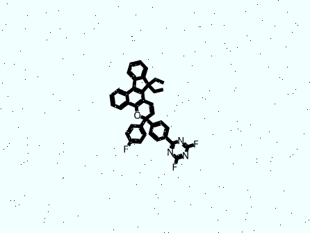 CCC1(CC)c2ccccc2-c2c1c1c(c3ccccc23)OC(c2ccc(F)cc2)(c2ccc(-c3nc(F)nc(F)n3)cc2)C=C1